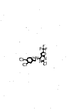 FC(F)(F)c1cc2c(NCc3ccc(Cl)c(Cl)c3)nc(Cl)nc2s1